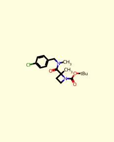 CN(Cc1ccc(Cl)cc1)C(=O)C1(C)CCN1C(=O)OC(C)(C)C